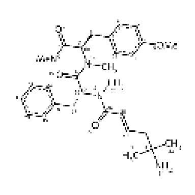 CNC(=O)[C@@H](Cc1ccc(OC)cc1)N(C)C(=O)[C@@H](Cc1ccccc1)N(C)C(=O)C=CCC(C)(C)N